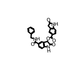 O=C1Cc2cc(C(=O)OC3C(=O)Nc4ccc(C(=O)NCc5ccccc5)cc43)ccc2N1